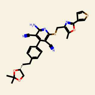 Cc1oc(-c2ccsc2)nc1CSc1nc(N)c(C#N)c(-c2ccc(CC[C@@H]3COC(C)(C)O3)cc2)c1C#N